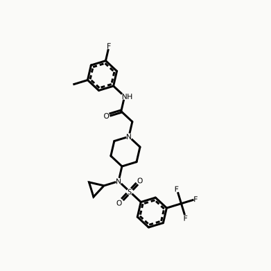 Cc1cc(F)cc(NC(=O)CN2CCC(N(C3CC3)S(=O)(=O)c3cccc(C(F)(F)F)c3)CC2)c1